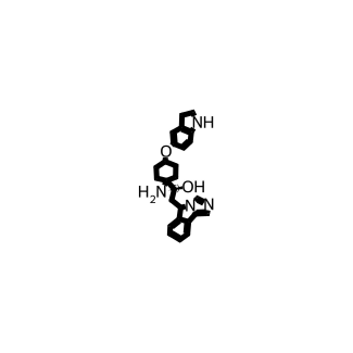 NC1([C@@H](O)CC2c3ccccc3-c3cncn32)CCC(Oc2ccc3c(c2)CCN3)CC1